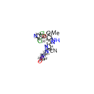 COc1cc2[nH]nc(-c3cnc(N4CC(C)(N(C)P(C)(C)=O)C4)c(C#N)c3)c2cc1O[C@H](C)c1c(Cl)cncc1Cl